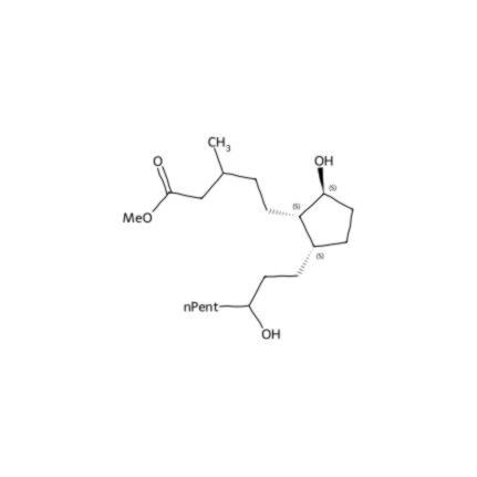 CCCCCC(O)CC[C@H]1CC[C@H](O)[C@H]1CCC(C)CC(=O)OC